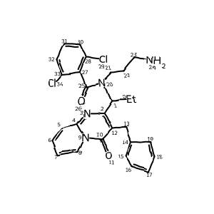 CCC(c1nc2ccccn2c(=O)c1Cc1ccccc1)N(CCCN)C(=O)c1c(Cl)cccc1Cl